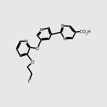 O=C(O)c1cnc(-c2cncc(Oc3ncccc3OCCF)c2)nc1